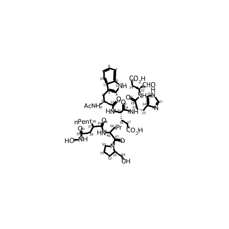 CC(=O)N[C@@H](Cc1c[nH]c2ccccc12)C(=O)N[C@@H](CCC(=O)O)C(=O)N[C@@H](Cc1c[nH]cn1)C(=O)N[C@H](C=O)CC(=O)O.CCCCCC(CC(=O)NO)C(=O)NC(C(=O)N1CCCC1CO)C(C)C